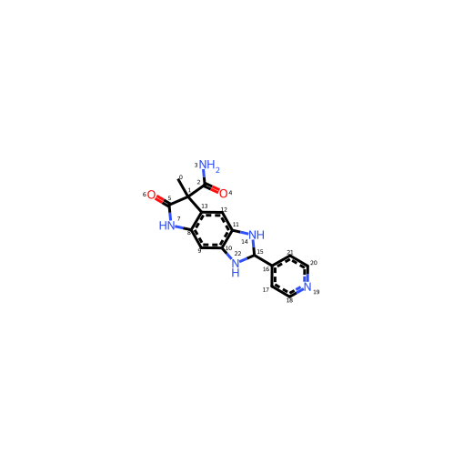 CC1(C(N)=O)C(=O)Nc2cc3c(cc21)NC(c1ccncc1)N3